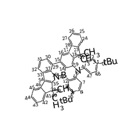 CC(C)(C)c1ccc(N2c3ccc(C(C)(C)C)cc3B3c4c(cc5c(c42)C(C)(C)c2ccccc2-5)-c2cccc4c5c(n3c24)C(C)(C)c2ccccc2-5)cc1